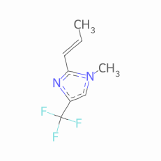 C/C=C/c1nc(C(F)(F)F)cn1C